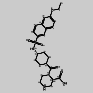 CCOc1ccc2cc(S(=O)(=O)N[C@H]3CC[C@H](C(=O)N4CCNC[C@@H]4C(=O)O)CC3)ccc2n1